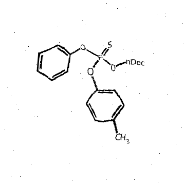 CCCCCCCCCCOP(=S)(Oc1ccccc1)Oc1ccc(C)cc1